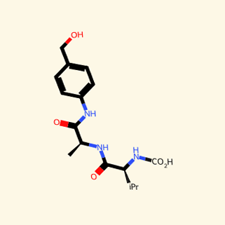 CC(C)[C@H](NC(=O)O)C(=O)N[C@@H](C)C(=O)Nc1ccc(CO)cc1